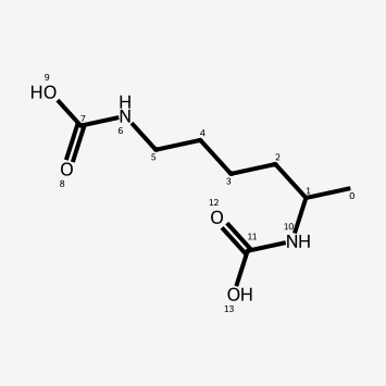 CC(CCCCNC(=O)O)NC(=O)O